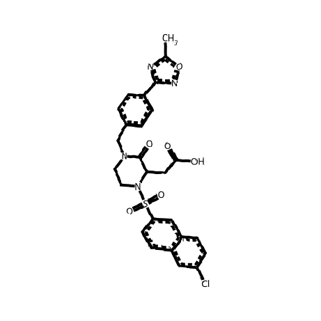 Cc1nc(-c2ccc(CN3CCN(S(=O)(=O)c4ccc5cc(Cl)ccc5c4)C(CC(=O)O)C3=O)cc2)no1